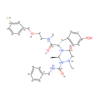 C[C@H]1N([C@@H](Cc2ccc(O)cc2)C(=O)N(C)CCOCc2cccc(F)c2)C(=O)CN(C)N1C(=O)NCc1ccccc1